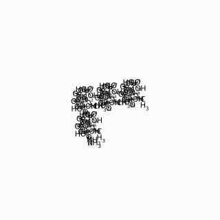 CCCN(C(P(=O)(O)O)P(=O)(O)O)C(P(=O)(O)O)P(=O)(O)O.CCCN(C(P(=O)(O)O)P(=O)(O)O)C(P(=O)(O)O)P(=O)(O)O.CCCN(C(P(=O)(O)O)P(=O)(O)O)C(P(=O)(O)O)P(=O)(O)O.CCCN(C(P(=O)(O)O)P(=O)(O)O)C(P(=O)(O)O)P(=O)(O)O.N.N